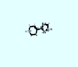 [c]1nc(C2=CCNCC2)n[nH]1